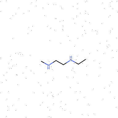 [CH2]CNCCNC